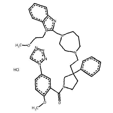 COCCn1c(N2CCCN(CCC3(c4ccccc4)CCN(C(=O)c4cc(-n5cnnn5)ccc4OC)C3)CC2)nc2ccccc21.Cl